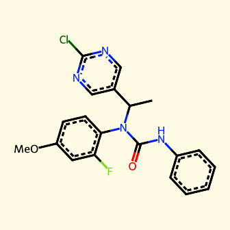 COc1ccc(N(C(=O)Nc2ccccc2)C(C)c2cnc(Cl)nc2)c(F)c1